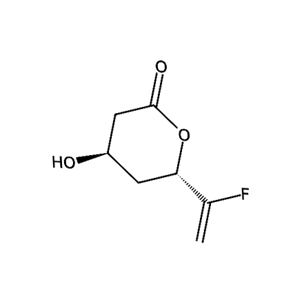 C=C(F)[C@@H]1C[C@@H](O)CC(=O)O1